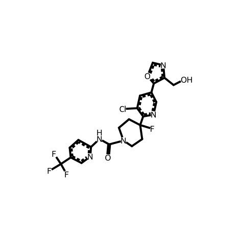 O=C(Nc1ccc(C(F)(F)F)cn1)N1CCC(F)(c2ncc(-c3ocnc3CO)cc2Cl)CC1